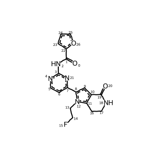 O=C(Nc1nccc(-c2cc3c(n2CCF)CCNC3=O)n1)c1ccco1